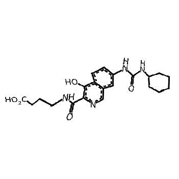 O=C(O)CCCNC(=O)c1ncc2cc(NC(=O)NC3CCCCC3)ccc2c1O